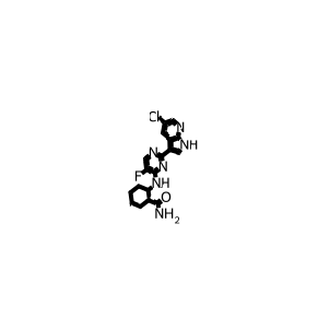 NC(=O)C1CCCCC1Nc1nc(-c2c[nH]c3ncc(Cl)cc23)ncc1F